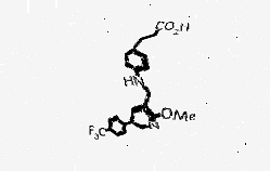 COc1ncc(-c2ccc(C(F)(F)F)cc2)cc1CNc1ccc(CCC(=O)O)cc1